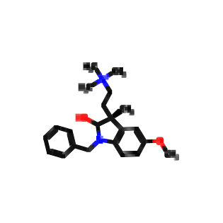 COc1ccc2c(c1)[C@@](C)(CC[N+](C)(C)C)C(O)N2Cc1ccccc1